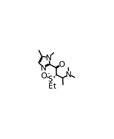 CC[S+]([O-])C(C(=O)c1ncc(C)n1C)C(C)N(C)C